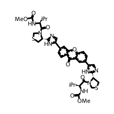 COC(=O)N[C@H](C(=O)N1CSC[C@H]1c1ncc(-c2ccc3c(=O)c4cc(-c5cnc([C@@H]6CSCN6C(=O)[C@@H](NC(=O)OC)C(C)C)[nH]5)ccc4oc3c2)[nH]1)C(C)C